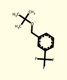 CC(C)(C)OCc1cccc(C(F)(F)F)c1